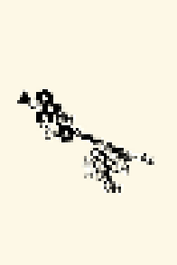 CC(=O)NCCCN(CCCCSc1ccc(Cl)c(CNC2(c3cnccc3-c3ccccc3OC3CC3)CC2)c1)C(=O)C(O)C(O)C(O)C(O)CO